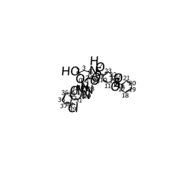 O=C(O)CC(NS(=O)(=O)c1ccc(S(=O)(=O)c2ccccc2)cc1)C(=O)Cn1nnc(Cc2c(Cl)cccc2Cl)n1